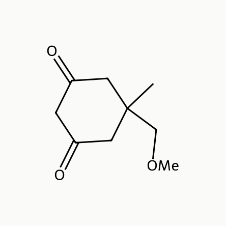 COCC1(C)CC(=O)CC(=O)C1